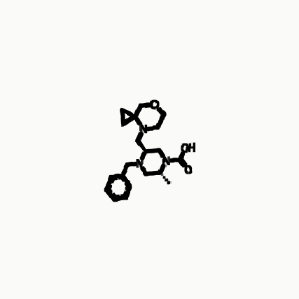 C[C@@H]1CN(Cc2ccccc2)[C@@H](CN2CCOCC23CC3)CN1C(=O)O